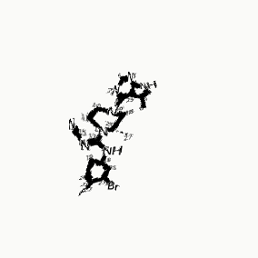 Cc1c[nH]c2ncnc(N3CCN(/C(=N\C#N)Nc4ccc(F)c(Br)c4)[C@@H](C)C3)c12